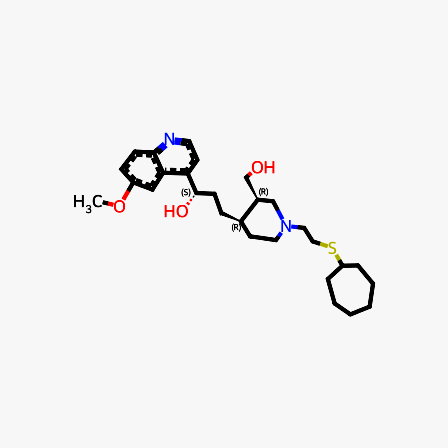 COc1ccc2nccc([C@@H](O)CC[C@@H]3CCN(CCSC4CCCCCC4)C[C@@H]3CO)c2c1